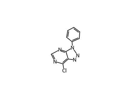 Clc1ncnc2c1nnn2-c1ccccc1